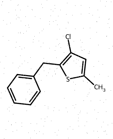 Cc1cc(Cl)c(Cc2ccccc2)s1